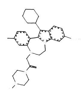 CCN1CCN(C(=O)CN2CCn3c(c(C4CCCCC4)c4ccc(C(=O)O)cc43)-c3ccc(F)cc32)CC1